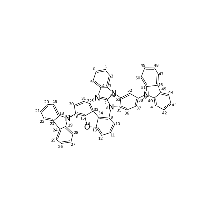 c1ccc2c(c1)nc1n(-c3cccc4oc5c(-n6c7ccccc7c7ccccc76)cccc5c34)c3ccc(-n4c5ccccc5c5ccccc54)cc3n21